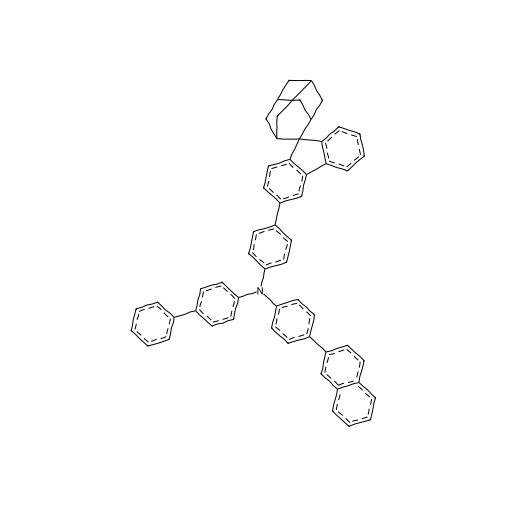 c1ccc(-c2ccc(N(c3ccc(-c4ccc5c(c4)-c4ccccc4C54C5CC6CC(C5)CC4C6)cc3)c3ccc(-c4ccc5ccccc5c4)cc3)cc2)cc1